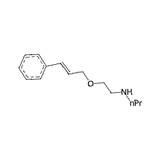 CCCNCCOCC=Cc1ccccc1